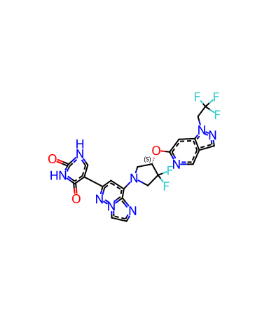 O=c1[nH]cc(-c2cc(N3C[C@H](Oc4cc5c(cn4)cnn5CC(F)(F)F)C(F)(F)C3)c3nccn3n2)c(=O)[nH]1